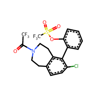 O=C(N1CCc2ccc(Cl)c(-c3ccccc3OS(=O)(=O)C(F)(F)F)c2CC1)C(F)(F)F